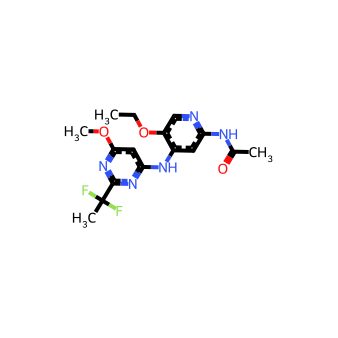 CCOc1cnc(NC(C)=O)cc1Nc1cc(OC)nc(C(C)(F)F)n1